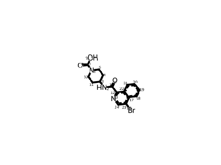 O=C(NC1CCN(C(=O)O)CC1)c1ncc(Br)c2ccccc12